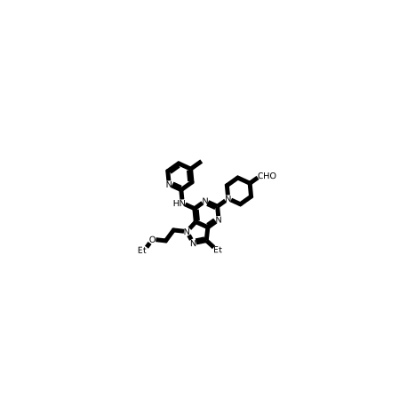 CCOCCn1nc(CC)c2nc(N3CCC(C=O)CC3)nc(Nc3cc(C)ccn3)c21